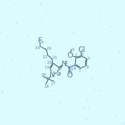 COc1c(Cl)cccc1C(=O)N=c1sn(C(C)(C)C)cc1CCCCF